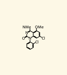 CNc1nc(=O)n(-c2ccccc2Cl)c2cc(Cl)cc(OC)c12